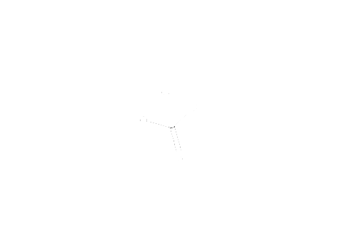 [O-]C([O-])=S.[S+2]